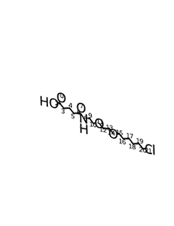 O=C(O)CCCC(=O)NCCOCCOCCCCCCCl